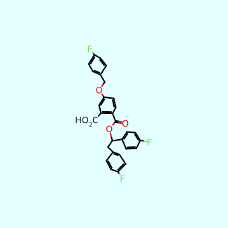 O=C(O)c1cc(OCc2ccc(F)cc2)ccc1C(=O)OC(Cc1ccc(F)cc1)c1ccc(F)cc1